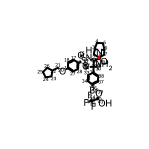 NC1CC2CCC(C1)N2C(=O)[C@H](NS(=O)(=O)c1ccc(OCC2CCCC2)cc1)C(F)(F)c1ccc(Br)cc1.O=C(O)C(F)(F)F